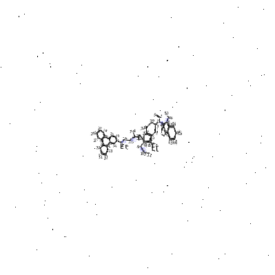 C=C/C(C1=Cc2c(CC)c(/C=C\C)n(/C(C)=C/C=C(\CC)c3ccc4c5ccccc5c5ccccc5c4c3)c2CC1)=c1/oc2ccccc2/c1=C/C